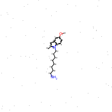 COc1ccc2c(c1)cc(C)n2CCCCCCCCN